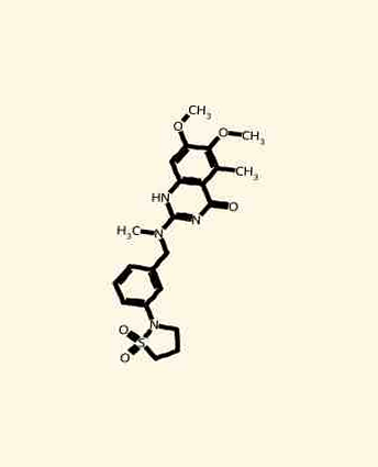 COc1cc2[nH]c(N(C)Cc3cccc(N4CCCS4(=O)=O)c3)nc(=O)c2c(C)c1OC